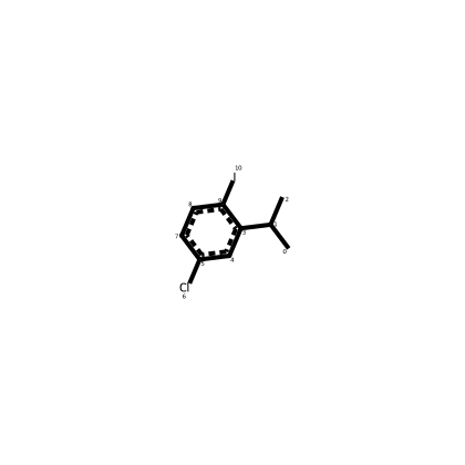 CC(C)c1cc(Cl)ccc1I